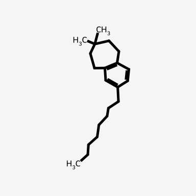 CCCCCCCCc1ccc2c(c1)CCC(C)(C)CC2